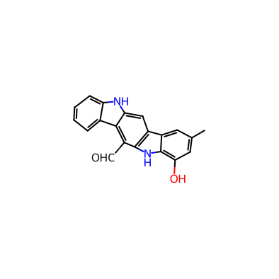 Cc1cc(O)c2[nH]c3c(C=O)c4c(cc3c2c1)[nH]c1ccccc14